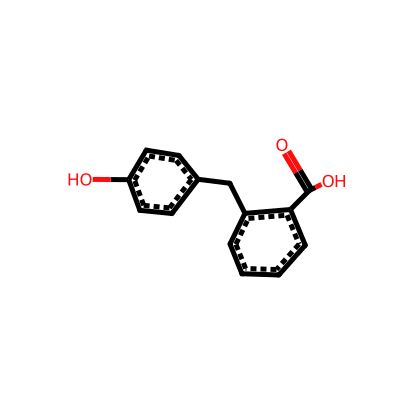 O=C(O)c1ccccc1Cc1ccc(O)cc1